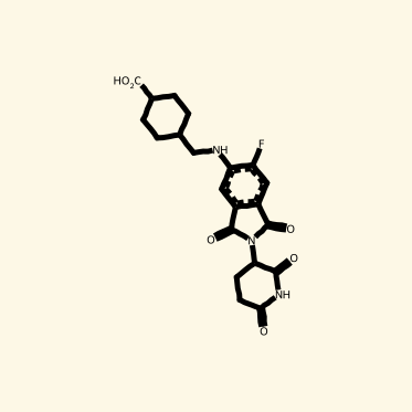 O=C1CCC(N2C(=O)c3cc(F)c(NCC4CCC(C(=O)O)CC4)cc3C2=O)C(=O)N1